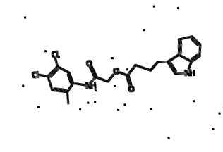 Cc1cc(Cl)c(Cl)cc1NC(=O)COC(=O)CCCc1c[nH]c2ccccc12